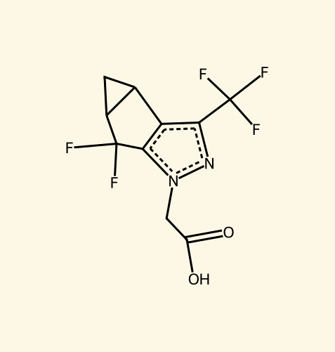 O=C(O)Cn1nc(C(F)(F)F)c2c1C(F)(F)C1CC21